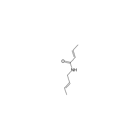 CC=CCNC(=O)C=CC